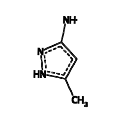 Cc1cc([NH])n[nH]1